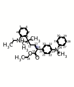 CCNc1ccccc1C(C)(C)C/C=C(\C(=O)OCC)c1ccc(N(C)c2ccccc2)cc1